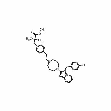 COC(=O)C(C)(C)Cc1ccc(CCN2CCCN(c3nc4ccccc4n3Cc3ccc(Cl)cc3)CCC2)cc1